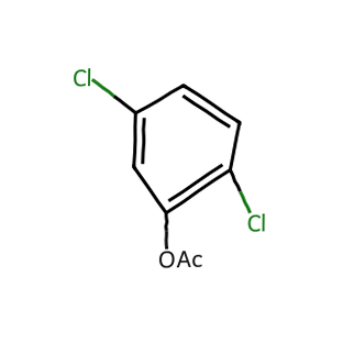 CC(=O)Oc1cc(Cl)ccc1Cl